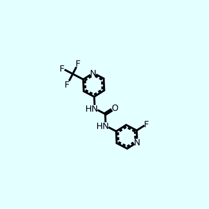 O=C(Nc1ccnc(F)c1)Nc1ccnc(C(F)(F)F)c1